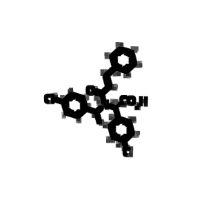 CC(c1ccc(Cl)cc1)N(C(=O)/C=C/c1ccccc1)[C@H](C(=O)O)c1ccc(Cl)cc1